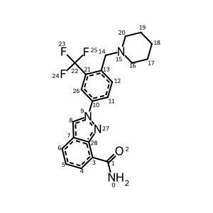 NC(=O)c1cccc2cn(-c3ccc(CN4CCCCC4)c(C(F)(F)F)c3)nc12